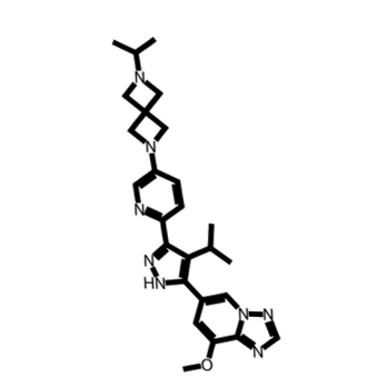 COc1cc(-c2[nH]nc(-c3ccc(N4CC5(C4)CN(C(C)C)C5)cn3)c2C(C)C)cn2ncnc12